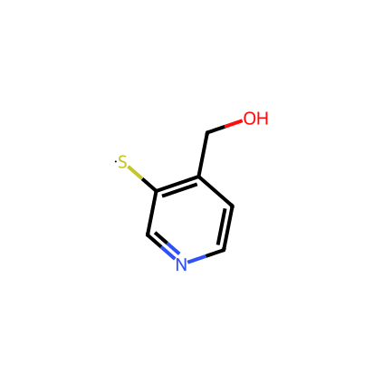 OCc1ccncc1[S]